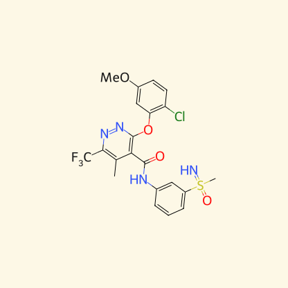 COc1ccc(Cl)c(Oc2nnc(C(F)(F)F)c(C)c2C(=O)Nc2cccc(S(C)(=N)=O)c2)c1